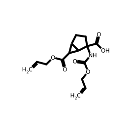 C=CCOC(=O)NC1(C(=O)O)CCC2C(C(=O)OCC=C)C21